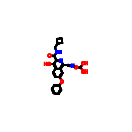 N#Cc1nc(C(=O)NCC2CCC2)c(O)c2ccc(Oc3ccccc3)cc12.O=C(O)O